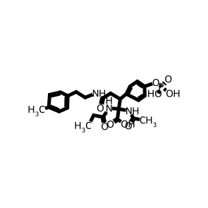 CCC(=O)NC(NC(C)=O)(C(=O)O)C(CC(=O)NCCc1ccc(C)cc1)c1ccc(OP(=O)(O)O)cc1